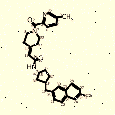 Cc1ccc(C(=O)N2CCC(=CC(=O)N[C@@H]3CCC(Cc4ccc5cc(F)ccc5c4)C3)CC2)nc1